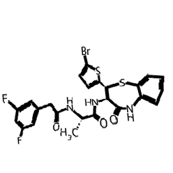 C[C@H](NC(=O)Cc1cc(F)cc(F)c1)C(=O)N[C@@H]1C(=O)Nc2ccccc2S[C@@H]1c1ccc(Br)s1